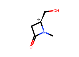 CN1C(=O)C[C@H]1CO